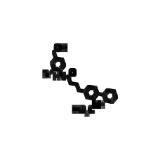 O=C(O)Nc1cc(CCCC(=O)Nc2ccc(CO)cc2Br)ccc1-c1ccccc1